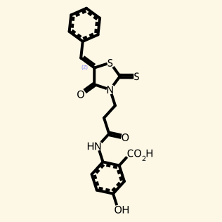 O=C(CCN1C(=O)/C(=C/c2ccccc2)SC1=S)Nc1ccc(O)cc1C(=O)O